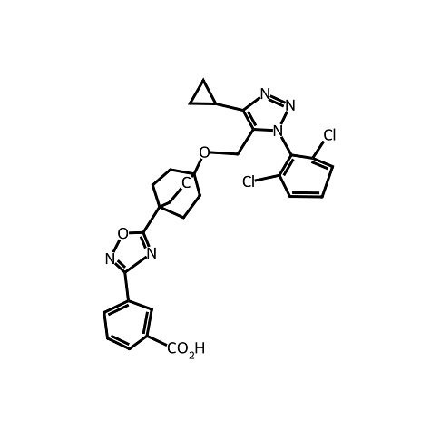 O=C(O)c1cccc(-c2noc(C34CCC(OCc5c(C6CC6)nnn5-c5c(Cl)cccc5Cl)(CC3)CC4)n2)c1